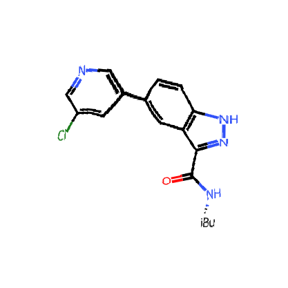 CC[C@@H](C)NC(=O)c1n[nH]c2ccc(-c3cncc(Cl)c3)cc12